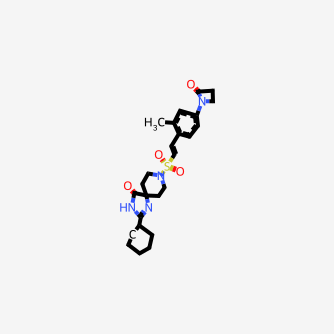 Cc1cc(N2CCC2=O)ccc1/C=C/S(=O)(=O)N1CCC2(CC1)N=C(C1CCCCC1)NC2=O